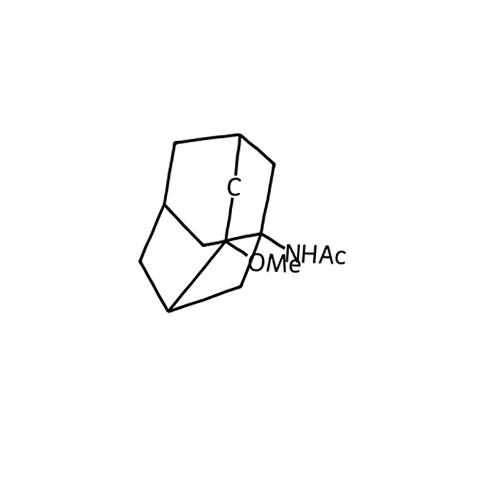 COC1CC2CC3CC1CC(NC(C)=O)(C3)C2